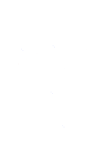 CCC1CCN(S(=O)(=O)c2ccc3c(c2)c(-c2ccc(OC)cc2CN)cn3CCCN)CC1